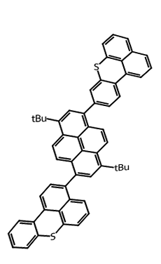 CC(C)(C)c1cc(-c2ccc3c(c2)Sc2cccc4cccc-3c24)c2ccc3c(C(C)(C)C)cc(-c4ccc5c6c(cccc46)Sc4ccccc4-5)c4ccc1c2c43